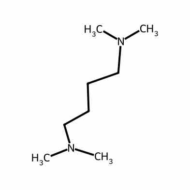 CN(C)CCCCN(C)C